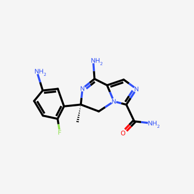 C[C@@]1(c2cc(N)ccc2F)Cn2c(cnc2C(N)=O)C(N)=N1